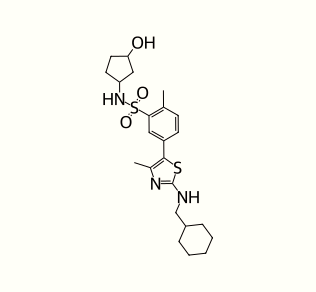 Cc1ccc(-c2sc(NCC3CCCCC3)nc2C)cc1S(=O)(=O)NC1CCC(O)C1